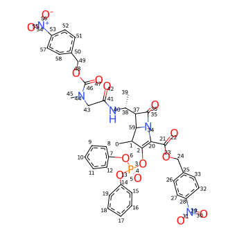 CC1C(OP(=O)(Oc2ccccc2)Oc2ccccc2)=C(C(=O)OCc2ccc([N+](=O)[O-])cc2)N2C(=O)C([C@@H](C)NC(=O)CN(C)C(=O)OCc3ccc([N+](=O)[O-])cc3)C12